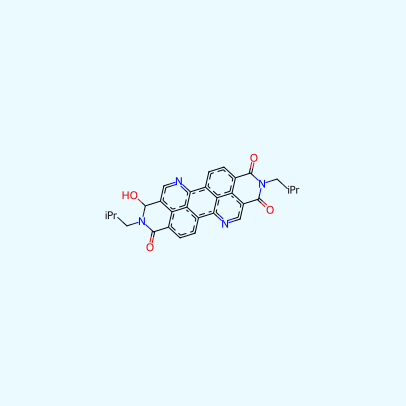 CC(C)CN1C(=O)c2ccc3c4ncc5c6c(ccc(c7ncc(c2c37)C1=O)c64)C(=O)N(CC(C)C)C5O